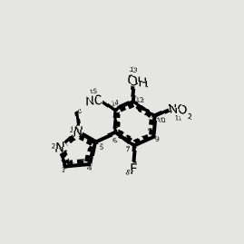 Cn1nccc1-c1c(F)cc([N+](=O)[O-])c(O)c1C#N